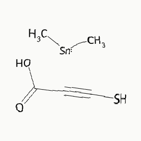 O=C(O)C#CS.[CH3][Sn][CH3]